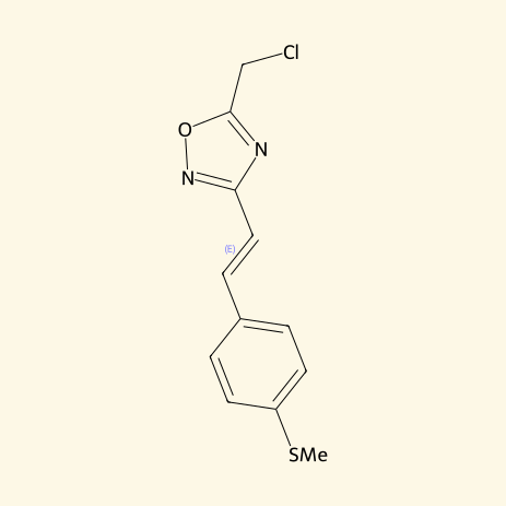 CSc1ccc(/C=C/c2noc(CCl)n2)cc1